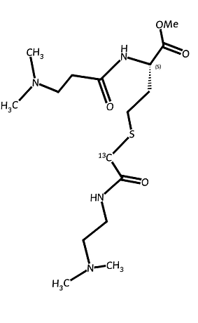 COC(=O)[C@H](CCS[13CH2]C(=O)NCCN(C)C)NC(=O)CCN(C)C